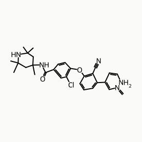 C=N/C=C(\C=C/N)c1cccc(Oc2ccc(C(=O)NC3(C)CC(C)(C)NC(C)(C)C3)cc2Cl)c1C#N